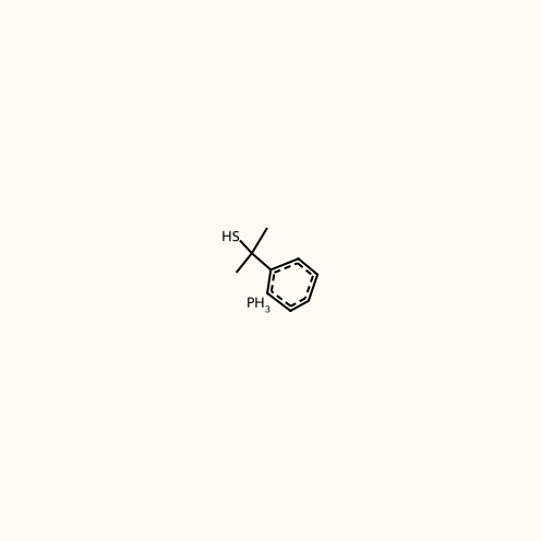 CC(C)(S)c1ccccc1.P